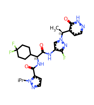 CC(C)n1nccc1C(=O)N[C@H](C(=O)Nc1cn([C@@H](C)c2ccn[nH]c2=O)nc1F)C1CCC(F)(F)CC1